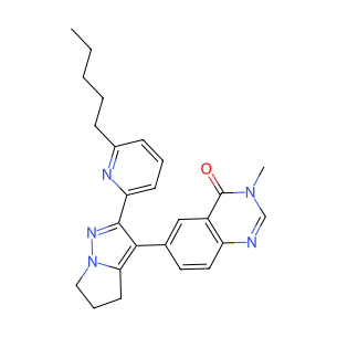 CCCCCc1cccc(-c2nn3c(c2-c2ccc4ncn(C)c(=O)c4c2)CCC3)n1